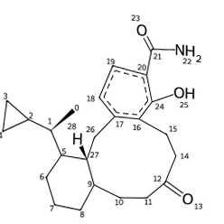 C[C@H](C1CC1)C1CCCC2CCC(=O)CCc3c(ccc(C(N)=O)c3O)C[C@H]21